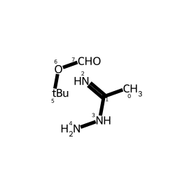 CC(=N)NN.CC(C)(C)OC=O